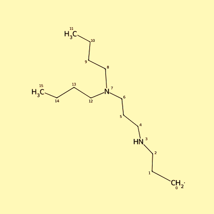 [CH2]CCNCCCN(CCCC)CCCC